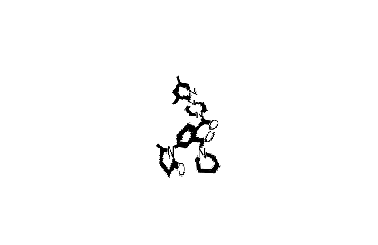 Cc1cnc(N2CCN(C(=O)c3ccc(N4C(=O)CCC4C)cc3C(=O)N3CCCCC3)CC2)c(C)c1